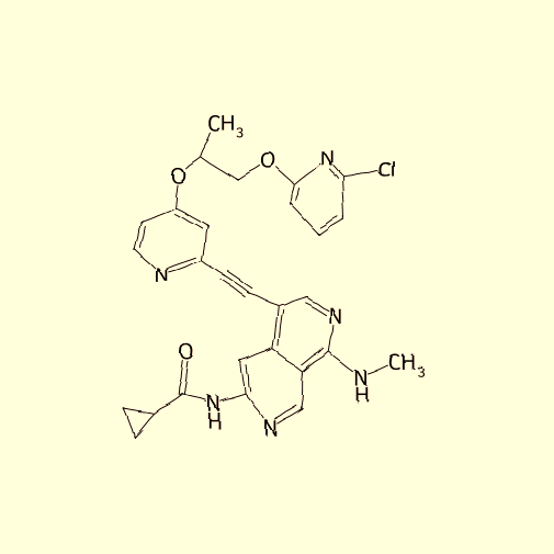 CNc1ncc(C#Cc2cc(OC(C)COc3cccc(Cl)n3)ccn2)c2cc(NC(=O)C3CC3)ncc12